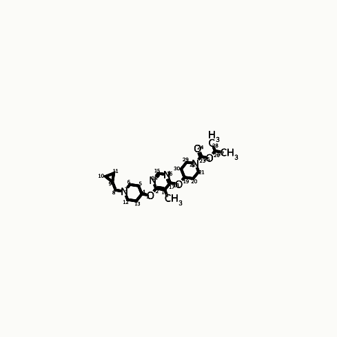 Cc1c(OC2CCN(CC3CC3)CC2)ncnc1OC1CCN(C(=O)OC(C)C)CC1